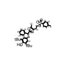 Cc1ccc(S(=O)(=O)OCCc2nc(C(Sc3cc(C(C)(C)C)c(O)c(C(C)(C)C)c3)c3ccccc3)oc2C)cc1